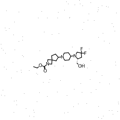 CCOC(=O)N1CC2(CCC(N3CCC(N4CC(F)(F)C[C@@H]4CO)CC3)C2)C1